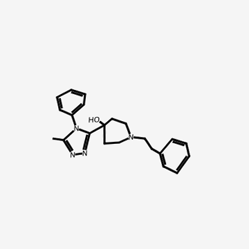 Cc1nnc(C2(O)CCN(CCc3ccccc3)CC2)n1-c1ccccc1